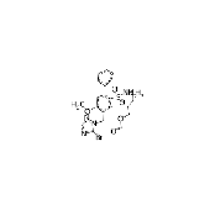 CCCCOC=O.COc1cc(-c2ccccc2)c(S(N)(=O)=O)cc1Cn1ncnc1Br